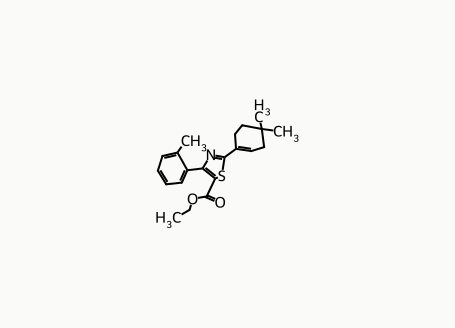 CCOC(=O)c1sc(C2=CCC(C)(C)CC2)nc1-c1ccccc1C